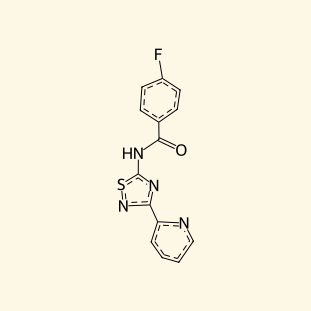 O=C(Nc1nc(-c2ccccn2)ns1)c1ccc(F)cc1